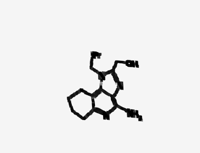 CC(C)Cn1c(CO)nc2c(N)nc3c(c21)CCCC3